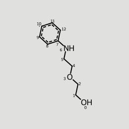 OCCOCCNc1cc[c]cc1